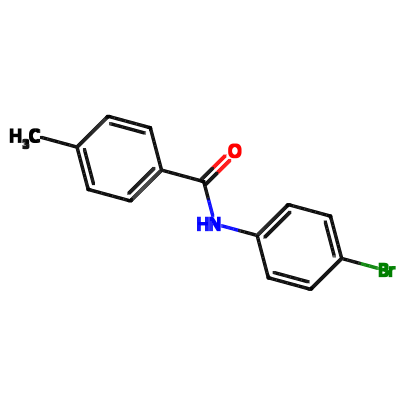 Cc1ccc(C(=O)Nc2ccc(Br)cc2)cc1